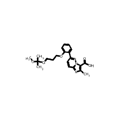 COC(C)(C)OCCCOc1ccccc1-c1ccc2nc(C)c(C(=O)O)n2n1